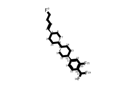 FCCC=C[C@H]1CC[C@H]([C@H]2CC[C@H](c3ccc(C(F)F)c(F)c3)CC2)CC1